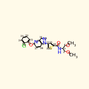 COCC(COC)NC(=O)c1cc(-n2ncc3nc(Oc4ccccc4Cl)ccc32)cs1